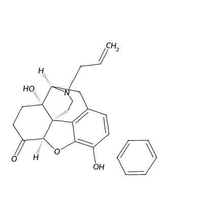 C=CCN1CC[C@]23c4c5ccc(O)c4O[C@H]2C(=O)CC[C@@]3(O)[C@H]1C5.c1ccccc1